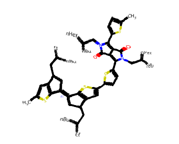 CCCCCCC(CCCC)CN1C(=O)C2=C(c3ccc(-c4cc5c(s4)/C(=C4\CC(CC(CC)CCCC)c6cc(C)sc64)CC5CC(CC)CCCC)s3)N(CC(CCCC)CCCCCC)C(=O)C2=C1c1ccc(C)s1